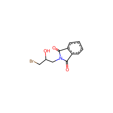 O=C1c2ccccc2C(=O)N1CC(O)CBr